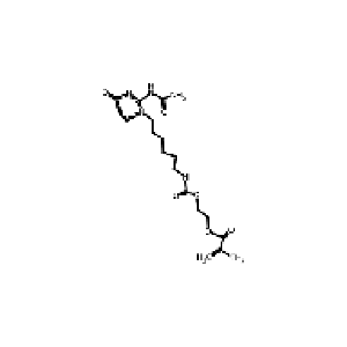 C=C(C)C(=O)OCCOC(=O)NCCCCCCn1ccc(=O)nc1NC(N)=O